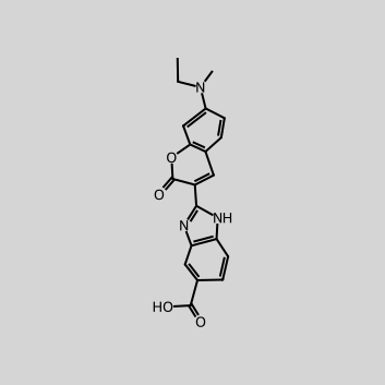 CCN(C)c1ccc2cc(-c3nc4cc(C(=O)O)ccc4[nH]3)c(=O)oc2c1